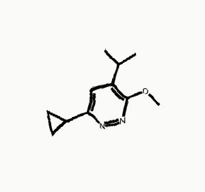 COc1nnc(C2CC2)cc1C(C)C